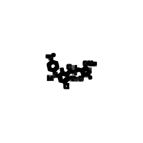 CCN(c1cc(Cl)cc(C(=O)NCc2c(OC)nn(C)c2OC)c1C)[C@H]1CC[C@H](N(C)C)CC1